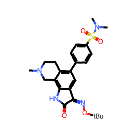 CN1CCc2c(-c3ccc(S(=O)(=O)N(C)C)cc3)cc3c(c2C1)NC(=O)C3=NOC(C)(C)C